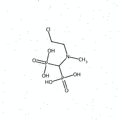 CN(CCCl)C(P(=O)(O)O)P(=O)(O)O